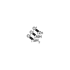 O=[SiH2].[O]=[AlH].[O]=[Zn]